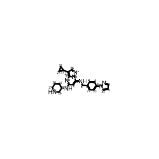 c1cnn(-c2ccc(CNc3cc(N[C@H]4CCCNC4)nc4c(C5CC5)cnn34)cc2)c1